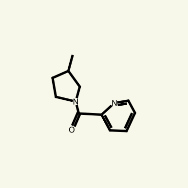 CC1CCN(C(=O)c2ccccn2)C1